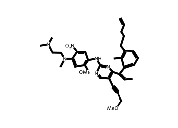 C=CCCCc1cccc(/C(=C\C)c2nc(Nc3cc([N+](=O)[O-])c(N(C)CCN(C)C)cc3OC)ncc2C#CCOC)c1C